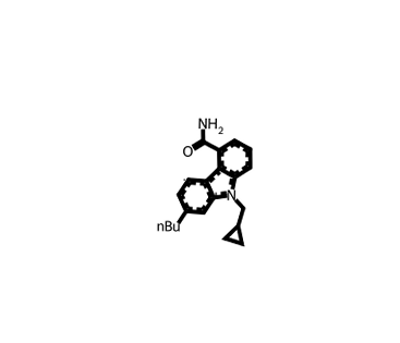 CCCCc1c[c]c2c3c(C(N)=O)cccc3n(CC3CC3)c2c1